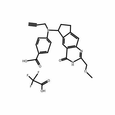 C#CCN(c1ccc(C(=O)O)cc1)C1CCc2cc3nc(COC)[nH]c(=O)c3cc21.O=C(O)C(F)(F)F